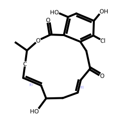 CC1C/C=C/C(O)C/C=C/C(=O)Cc2c(Cl)c(O)cc(O)c2C(=O)O1